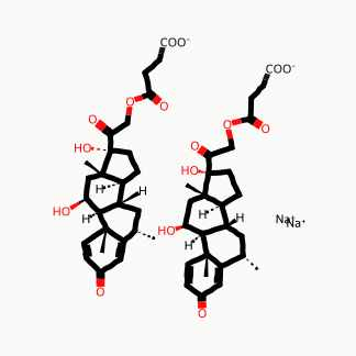 C[C@H]1C[C@@H]2[C@H]([C@@H](O)C[C@@]3(C)[C@H]2CC[C@]3(O)C(=O)COC(=O)CCC(=O)[O-])[C@@]2(C)C=CC(=O)C=C12.C[C@H]1C[C@@H]2[C@H]([C@@H](O)C[C@@]3(C)[C@H]2CC[C@]3(O)C(=O)COC(=O)CCC(=O)[O-])[C@@]2(C)C=CC(=O)C=C12.[Na+].[Na+]